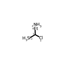 CCC([SiH3])Cl.N